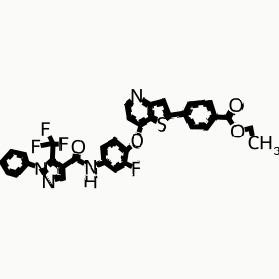 CCOC(=O)c1ccc(-c2cc3nccc(Oc4ccc(NC(=O)c5cnn(-c6ccccc6)c5C(F)(F)F)cc4F)c3s2)cc1